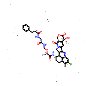 CC[C@@H](OCNC(=O)CNC(=O)[C@@H](C)Cc1ccccc1)C(=O)N[C@H]1CCc2c(C)c(F)cc3nc4c(c1c23)Cn1c-4cc2c(c1=O)COC(=O)[C@]2(O)CC